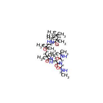 CCNC(=O)CN(CC(=O)NC(C)C)C(=O)CCNC(=O)C(C)(C)CCOC(C)(C)CCNC(=O)C(C)(C)CC(C)(C)C